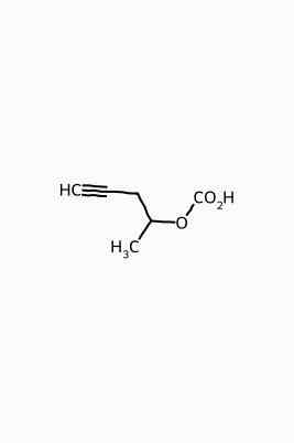 C#CCC(C)OC(=O)O